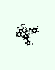 COc1cccc2c1N(C(C(=O)NCc1cccc(Cl)c1)c1ccc(-c3c[nH]cn3)cc1)C(=O)C2=O.Cl